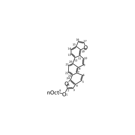 CCCCCCCCOc1cc2ccc3c4ccc5c(ccc6ccoc65)c4ccc3c2o1